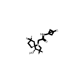 O=C(CN1CC(F)(F)[C@@H](O)[C@@]12CCC(F)(F)C2)NC12CC(Cl)(C1)C2